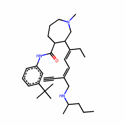 C#C/C(=C\C=C(/CC)C1CN(C)CCCC1C(=O)Nc1cccc(C(C)(C)C)c1)CNC(C)CCC